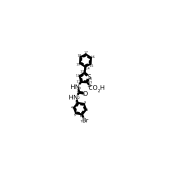 O=C(Nc1ccc(Br)cc1)Nc1cc(-c2ccccc2)sc1C(=O)O